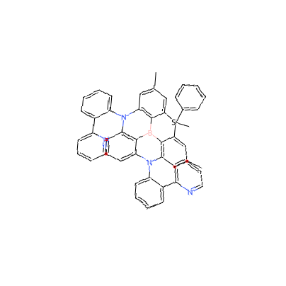 Cc1cc2c3c(c1)[Si](C)(c1ccccc1)c1cc(C)cc4c1B3c1c(cccc1N4c1ccccc1-c1ccccn1)N2c1ccccc1-c1ccccn1